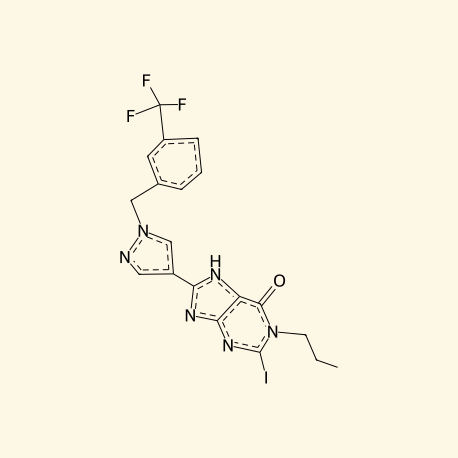 CCCn1c(I)nc2nc(-c3cnn(Cc4cccc(C(F)(F)F)c4)c3)[nH]c2c1=O